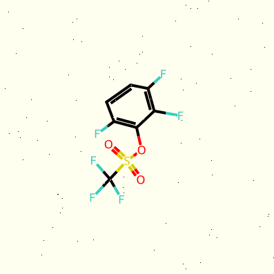 O=S(=O)(Oc1c(F)ccc(F)c1F)C(F)(F)F